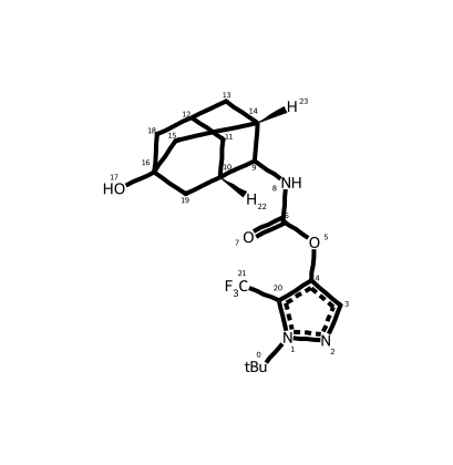 CC(C)(C)n1ncc(OC(=O)NC2[C@H]3CC4C[C@H]2CC(O)(C4)C3)c1C(F)(F)F